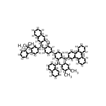 Cc1cc2c(cc1C)N(c1cccc3ccccc13)c1cc(-c3ccc4c(c3)Oc3cc5ccccc5cc3N4c3ccc4c(c3)C(C)(C)c3ccccc3-4)ccc1N2c1ccc2c3ccccc3c3ccccc3c2c1